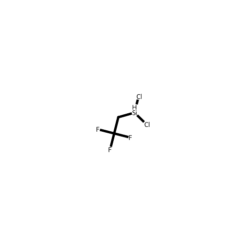 FC(F)(F)C[SiH](Cl)Cl